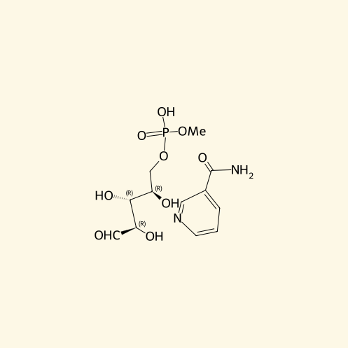 COP(=O)(O)OC[C@@H](O)[C@@H](O)[C@@H](O)C=O.NC(=O)c1cccnc1